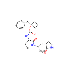 CC(C)CC(NC(=O)OC1(Cc2ccccc2)CCC1)C(=O)NC(C[C@@H]1CCNC1=O)C(=O)O